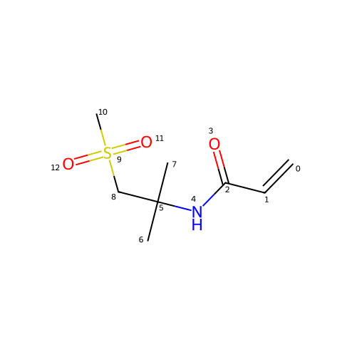 C=CC(=O)NC(C)(C)CS(C)(=O)=O